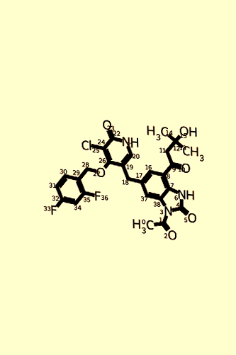 CC(=O)n1c(=O)[nH]c2c(C(=O)CC(C)(C)O)cc(Cc3c[nH]c(=O)c(Cl)c3OCc3ccc(F)cc3F)cc21